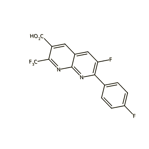 O=C(O)c1cc2cc(F)c(-c3ccc(F)cc3)nc2nc1C(F)(F)F